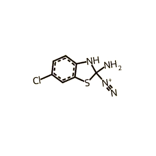 N#[N+]C1(N)Nc2ccc(Cl)cc2S1